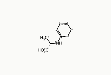 C[C@H](NC1=CC=CCC1)C(=O)O